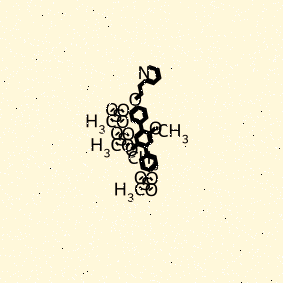 COc1cc(-c2ccc(OS(C)(=O)=O)cc2)c(OC)c(OS(C)(=O)=O)c1-c1ccc(OCCc2ccccn2)c(OS(C)(=O)=O)c1